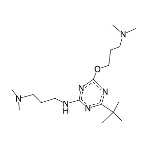 CN(C)CCCNc1nc(OCCCN(C)C)nc(C(C)(C)C)n1